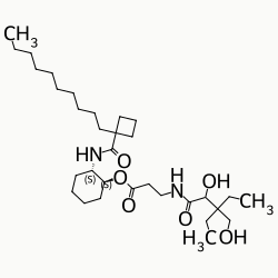 CCCCCCCCCCC1(C(=O)N[C@H]2CCCC[C@@H]2OC(=O)CCNC(=O)C(O)C(CC)(CC)CO)CCC1